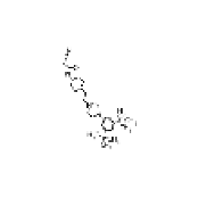 CC(C)(C)c1cc(N2CCN(CCC3CCC(NC(=O)CC#N)CC3)CC2)cc(C(C)(C)C)c1